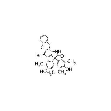 Cc1cc(C2(c3cc(C)c(O)c(C)c3)C(=O)Nc3c(Cc4ccccc4Cl)cc(Br)cc32)cc(C)c1O